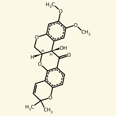 COc1cc2c(cc1OC)[C@]1(O)C(=O)c3ccc4c(c3O[C@@H]1CO2)C=CC(C)(C)O4